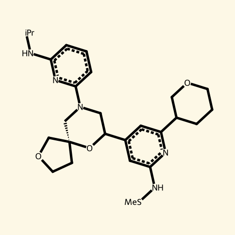 CSNc1cc(C2CN(c3cccc(NC(C)C)n3)C[C@@]3(CCOC3)O2)cc(C2CCCOC2)n1